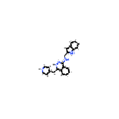 c1ccc2[nH]c(CNc3nnc(Cc4ccncc4)c4ccccc34)cc2c1